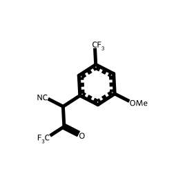 COc1cc(C(C#N)C(=O)C(F)(F)F)cc(C(F)(F)F)c1